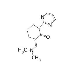 CN(C)C=C1CCCC(c2ncccn2)C1=O